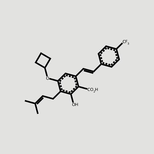 CC(C)=CCc1c(OC2CCC2)cc(C=Cc2ccc(C(F)(F)F)cc2)c(C(=O)O)c1O